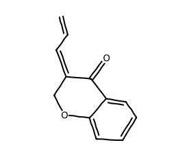 C=CC=C1COc2ccccc2C1=O